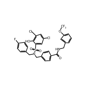 O=C(NCc1cccc(OC(F)(F)F)c1)c1ccc(CN(Cc2ccc(F)cc2)S(=O)(=O)c2cc(Cl)cc(Cl)c2O)cc1